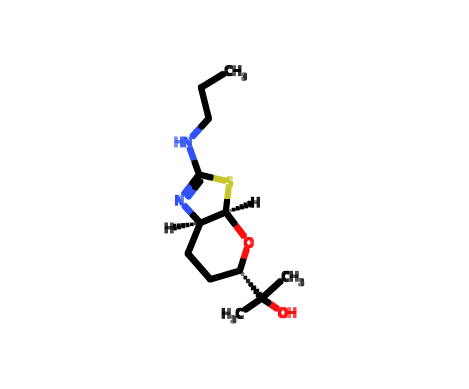 CCCNC1=N[C@@H]2CC[C@@H](C(C)(C)O)O[C@@H]2S1